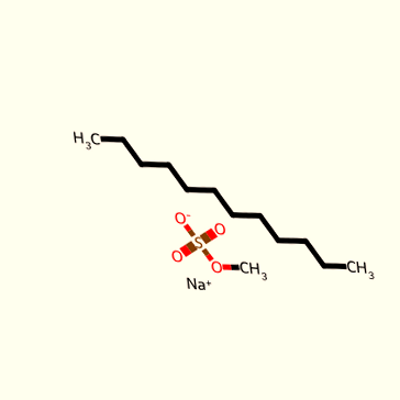 CCCCCCCCCCCC.COS(=O)(=O)[O-].[Na+]